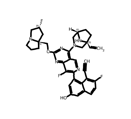 C#Cc1c(F)ccc2cc(O)cc(-c3ncc4c(N5C[C@@H]6CC[C@](C=C)(C5)N6)nc(OC[C@@]56CCCN5C[C@H](F)C6)nc4c3F)c12